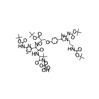 Cn1c(-c2ccc(OCC(O/N=C(\C(=O)NC3C(=O)N(OS(=O)(=O)O)C3(C)C)c3csc(NC(=O)OC(C)(C)C)n3)C(=O)OC(C)(C)C)cc2)cn(CCCNC(=O)OC(C)(C)C)/c1=N\C(=O)OC(C)(C)C